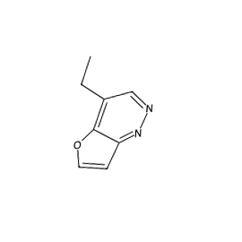 CCc1cnnc2ccoc12